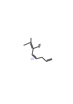 C=CC/C=C\C(F)=C(C)C